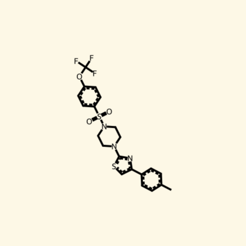 Cc1ccc(-c2csc(N3CCN(S(=O)(=O)c4ccc(OC(F)(F)F)cc4)CC3)n2)cc1